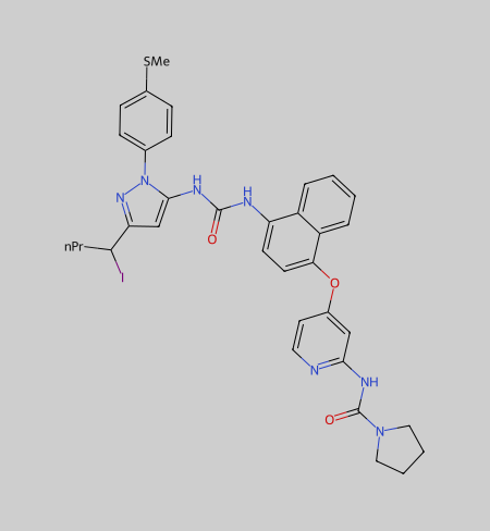 CCCC(I)c1cc(NC(=O)Nc2ccc(Oc3ccnc(NC(=O)N4CCCC4)c3)c3ccccc23)n(-c2ccc(SC)cc2)n1